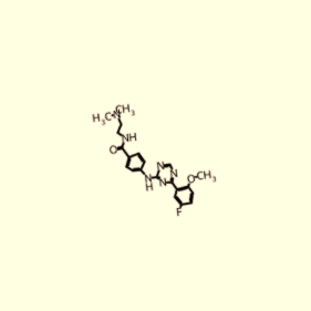 COc1ccc(F)cc1-c1ncnc(Nc2ccc(C(=O)NCCN(C)C)cc2)n1